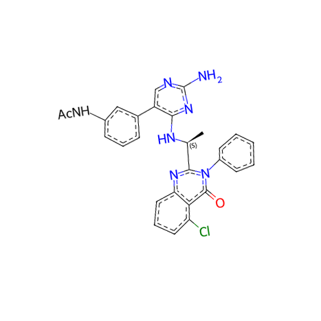 CC(=O)Nc1cccc(-c2cnc(N)nc2N[C@@H](C)c2nc3cccc(Cl)c3c(=O)n2-c2ccccc2)c1